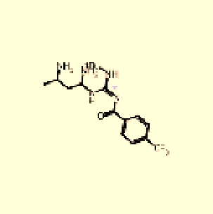 CC(N)CC(N)N/C(=N\C(=O)c1ccc(C(F)(F)F)cc1)NC(C)(C)C